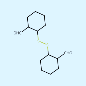 O=CC1CCCCC1SSC1CCCCC1C=O